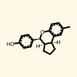 Cc1ccc2c(c1)[C@H]1CCC[C@H]1[C@@H](c1ccc(O)cc1)O2